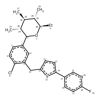 CC[C@H]1OC(c2ccc(Cl)c(Cc3ccc(-c4ccc(F)nc4)s3)c2)[C@H](C)[C@@H](C)[C@@H]1C